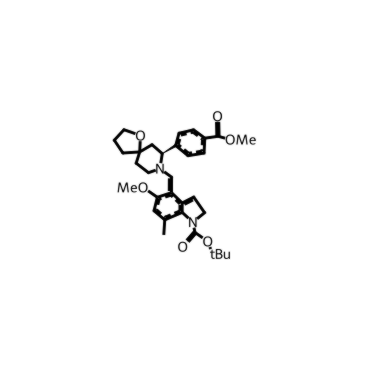 COC(=O)c1ccc([C@@H]2CC3(CCCO3)CCN2C=c2c(OC)cc(C)c3c2=CCN3C(=O)OC(C)(C)C)cc1